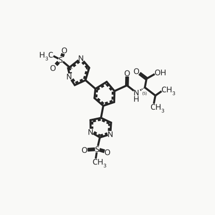 CC(C)[C@H](NC(=O)c1cc(-c2cnc(S(C)(=O)=O)nc2)cc(-c2cnc(S(C)(=O)=O)nc2)c1)C(=O)O